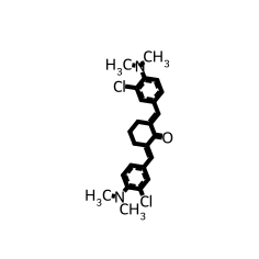 CN(C)c1ccc(C=C2CCCC(=Cc3ccc(N(C)C)c(Cl)c3)C2=O)cc1Cl